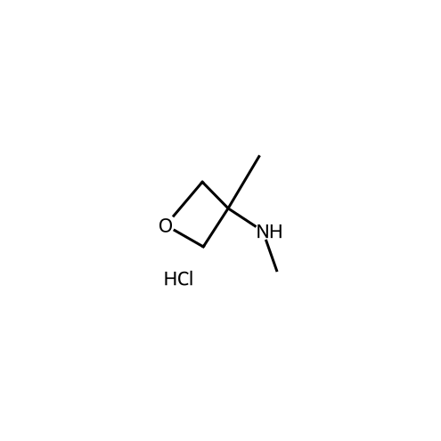 CNC1(C)COC1.Cl